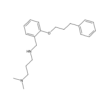 CN(C)CCCNCc1ccccc1OCCCc1ccccc1